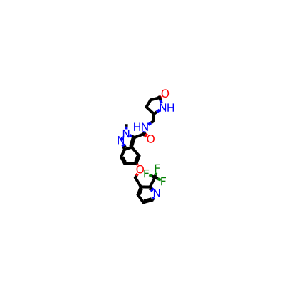 Cn1nc2ccc(OCc3cccnc3C(F)(F)F)cc2c1C(=O)NCC1CCC(=O)N1